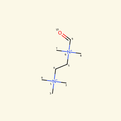 C[N+](C)(C)CC[N+](C)(C)C=O